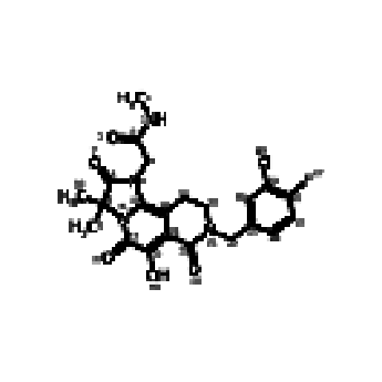 CNC(=O)CN1C(=O)C(C)(C)n2c1c1c(c(O)c2=O)C(=O)N(Cc2ccc(F)c(Cl)c2)CC1